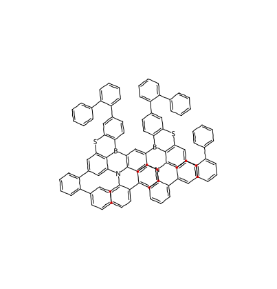 c1ccc(-c2ccccc2-c2ccc3c(c2)Sc2cc(-c4ccccc4-c4ccccc4)cc4c2B3c2cc3c(cc2N4c2ccccc2-c2ccccc2)N(c2ccccc2-c2ccccc2)c2cc(-c4ccccc4-c4ccccc4)cc4c2B3c2ccc(-c3ccccc3-c3ccccc3)cc2S4)cc1